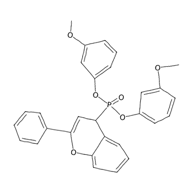 COc1cccc(OP(=O)(Oc2cccc(OC)c2)C2C=C(c3ccccc3)Oc3ccccc32)c1